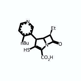 CCCCc1ccncc1C1C(S)=C(C(=O)O)N2C(=O)[C@H](CC)C12